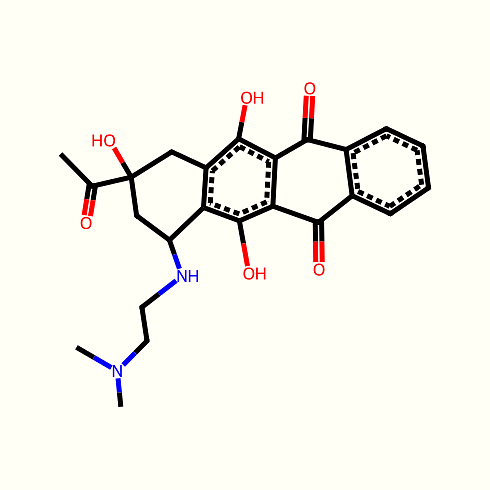 CC(=O)C1(O)Cc2c(O)c3c(c(O)c2C(NCCN(C)C)C1)C(=O)c1ccccc1C3=O